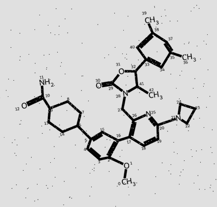 COc1ccc(C2CCC(C(N)=O)CC2)cc1-c1ccc(N2CCC2)nc1CN1C(=O)OC(c2cc(C)cc(C)c2)C1C